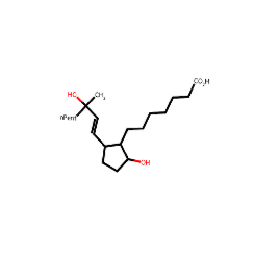 CCCCCC(C)(O)C=CC1CCC(O)C1CCCCCCC(=O)O